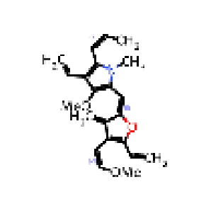 C=Cc1o/c(=C/c2c(OC)c(C=C)c(/C=C\C)n2C)c(=C)c1/C=C\OC